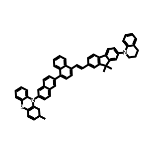 CC1C=CC2=C(C1)N(c1ccc3cc(-c4ccc(/C=C/c5ccc6c(c5)C(C)(C)c5cc(N7CCCc8ccccc87)ccc5-6)c5ccccc45)ccc3c1)c1ccccc1S2